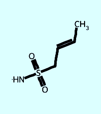 CC=CCS([NH])(=O)=O